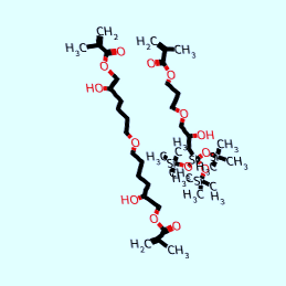 C=C(C)C(=O)OCC(O)CCCCOCCCCC(O)COC(=O)C(=C)C.C=C(C)C(=O)OCCCOCC(O)C[Si](O[Si](C)(C)C)(O[Si](C)(C)C)O[Si](C)(C)C